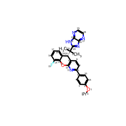 CC(C)Oc1ccc(-c2ccc3c(n2)Oc2c(F)cccc2[C@@H]3C(C)(C)c2nc3nccnc3[nH]2)cc1